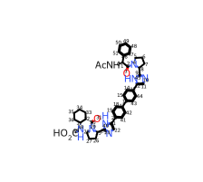 CC(=O)NC(C(=O)N1CCCC1c1ncc(-c2ccc(-c3ccc(-c4cnc(C5CCCN5C(=O)[C@H]5CCCC[C@H]5NC(=O)O)[nH]4)cc3)cc2)[nH]1)c1ccccc1